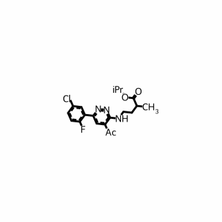 CC(=O)c1cc(-c2cc(Cl)ccc2F)nnc1NCCC(C)C(=O)OC(C)C